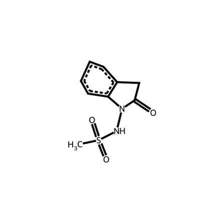 CS(=O)(=O)NN1C(=O)Cc2ccccc21